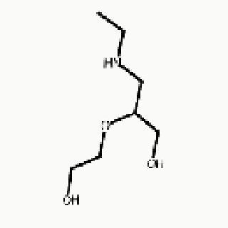 CCNCC(CO)OCCO